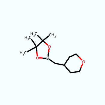 CC1(C)OB(CC2CCOCC2)OC1(C)C